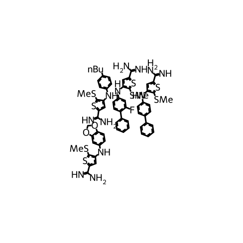 CCCCc1ccc(Nc2cc(C(=N)N)sc2SC)cc1.CSc1sc(C(=N)N)cc1Nc1ccc(-c2ccccc2)c(F)c1.CSc1sc(C(=N)N)cc1Nc1ccc(-c2ccccc2)cc1.CSc1sc(C(=N)N)cc1Nc1ccc2c(c1)OCO2